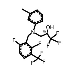 Cc1cccc(N(Cc2c(F)ccc(C(F)(F)F)c2F)C[C@@H](O)C(F)(F)F)c1